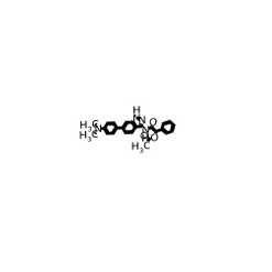 CC(=O)OC(C(=O)Nc1n[nH]c2cc(-c3ccc(N(C)C)cc3)ccc12)c1ccccc1